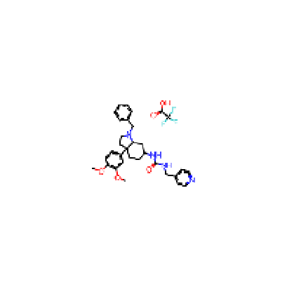 COc1ccc(C23CCC(NC(=O)NCc4ccncc4)CC2N(Cc2ccccc2)CC3)cc1OC.O=C(O)C(F)(F)F